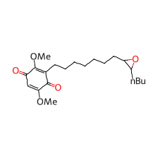 CCCCC1OC1CCCCCCCC1=C(OC)C(=O)C=C(OC)C1=O